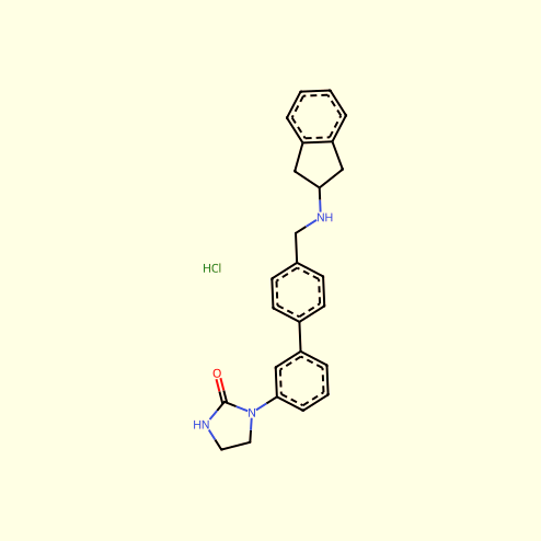 Cl.O=C1NCCN1c1cccc(-c2ccc(CNC3Cc4ccccc4C3)cc2)c1